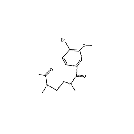 COc1cc(C(=O)N(C)CCN(C)C(C)=O)ccc1Br